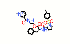 Cc1ccc(S(=O)(=O)N2CCC[C@H]2C(=O)N[C@@H](Cc2ccccc2)C(=O)OCCNC(=O)c2ccc[n+](C)c2)cc1